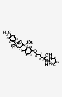 Cc1ccc(S(=O)(=O)N[C@@H](Cc2ccc(OCCCC(=O)NC3=NCCCN3)cc2)C(=O)OC(C)(C)C)cc1